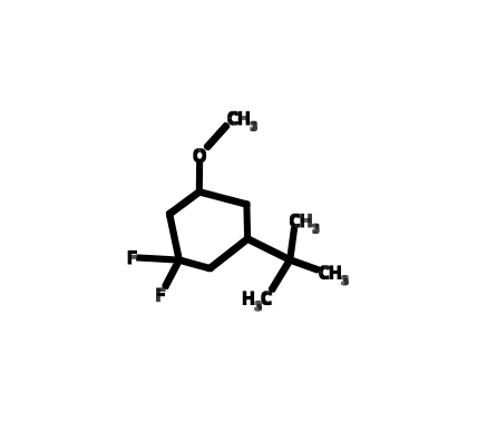 COC1CC(C(C)(C)C)CC(F)(F)C1